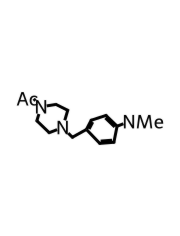 CNc1ccc(CN2CCN(C(C)=O)CC2)cc1